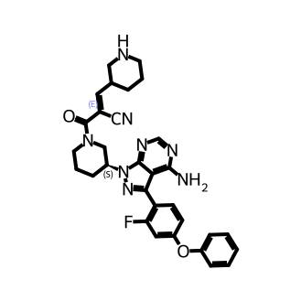 N#C/C(=C\C1CCCNC1)C(=O)N1CCC[C@H](n2nc(-c3ccc(Oc4ccccc4)cc3F)c3c(N)ncnc32)C1